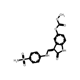 COC(=O)Oc1ccc2c(c1)C(=CNc1ccc(S(N)(=O)=O)cc1)C(=O)N2